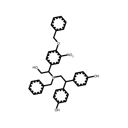 O=[N+]([O-])c1cc(C(CO)N(Cc2ccccc2)CC(c2ccc(O)cc2)c2ccc(O)cc2)ccc1OCc1ccccc1